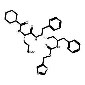 CC(=O)NCC[C@H](NC(=O)N1CCCCC1)C(=O)N[C@@H](CC[C@@H](Cc1ccccc1)NC(=O)OCc1cncs1)Cc1ccccc1